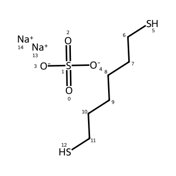 O=S(=O)([O-])[O-].SCCCCCCS.[Na+].[Na+]